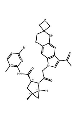 CC(=O)c1cn(CC(=O)N2[C@H](C(=O)Nc3nc(Br)ccc3C)C[C@@]3(C)C[C@@H]23)c2cc3c(cc12)NC1(COC1)CO3